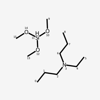 CCCN(CC)CCC.CO[SiH](OC)OC